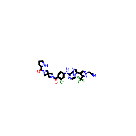 N#CCn1cc(-c2cnc3c(Nc4ccc(C(=O)N5CC6(C5)CN(C(=O)C5CCCN5)C6)c(Cl)c4)nccn23)c(C(F)(F)F)n1